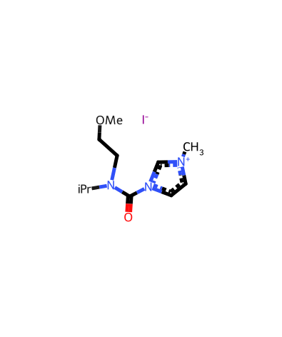 COCCN(C(=O)n1cc[n+](C)c1)C(C)C.[I-]